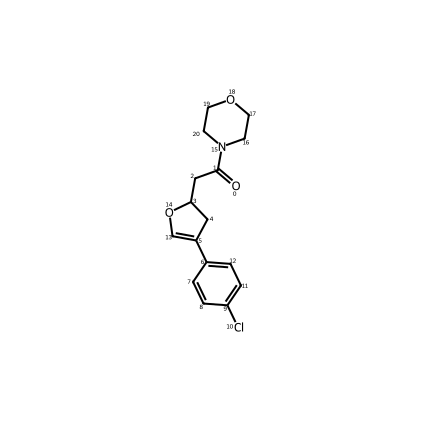 O=C(CC1CC(c2ccc(Cl)cc2)=CO1)N1CCOCC1